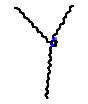 CCCCCCCCCCCCCCCCn1cc[n+](CCCCCCCCCCCC)c1CCCCCCCCCCCCCCC